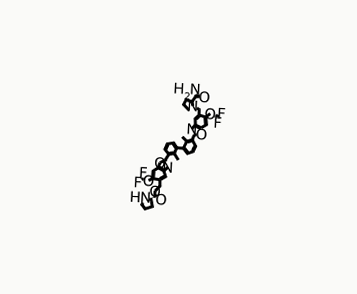 Cc1c(-c2nc3cc(COC(=O)[C@@H]4CCCN4)c(OC(F)F)cc3o2)cccc1-c1cccc(-c2nc3cc(CN4CCCC4C(N)=O)c(OC(F)F)cc3o2)c1C